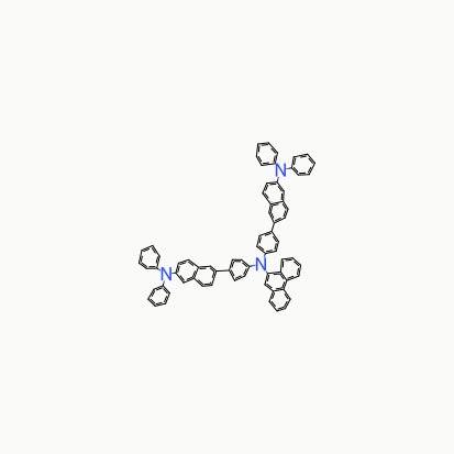 c1ccc(N(c2ccccc2)c2ccc3cc(-c4ccc(N(c5ccc(-c6ccc7cc(N(c8ccccc8)c8ccccc8)ccc7c6)cc5)c5cc6ccccc6c6ccccc56)cc4)ccc3c2)cc1